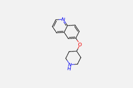 c1cnc2ccc(OC3CCNCC3)cc2c1